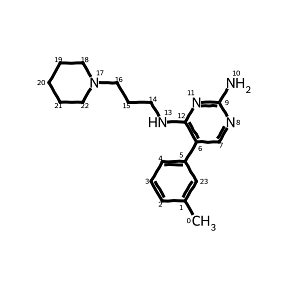 Cc1cccc(-c2cnc(N)nc2NCCCN2CCCCC2)c1